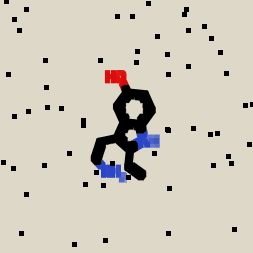 C=Cc1[nH]c2ccc(O)cc2c1/C=C\N